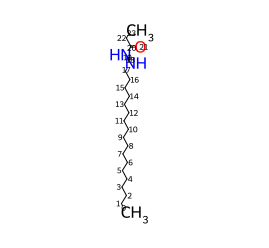 CCCCCCCCCCCCCCCCCCNNC(=O)CC